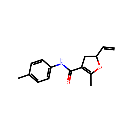 C=CC1CC(C(=O)Nc2ccc(C)cc2)=C(C)O1